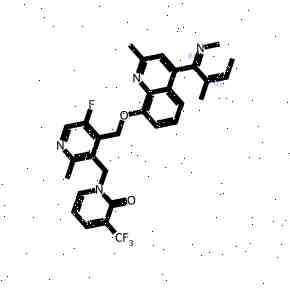 C/C=C(C)\C(=N/C)c1cc(C)nc2c(OCc3c(F)cnc(C)c3Cn3cccc(C(F)(F)F)c3=O)cccc12